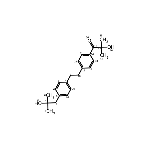 CC(C)(O)Cc1ccc(CCc2ccc(C(=O)C(C)(C)O)cc2)cc1